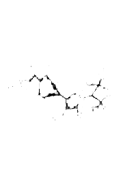 CC(C(=O)O)c1ccc(-c2nn(C(C(O)(O)O)C(O)(O)O)c(N)c2C#N)cc1